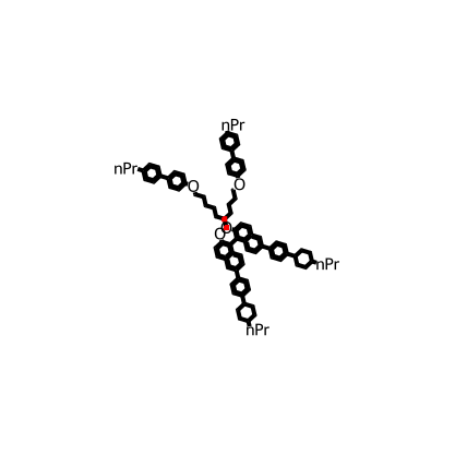 CCCc1ccc(-c2ccc(OCCCCCCOc3ccc4cc(-c5ccc(C6CCC(CCC)CC6)cc5)ccc4c3-c3c(OCCCCCCOc4ccc(-c5ccc(CCC)cc5)cc4)ccc4cc(-c5ccc(C6CCC(CCC)CC6)cc5)ccc34)cc2)cc1